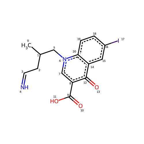 CC(CC=N)Cn1cc(C(=O)O)c(=O)c2cc(I)ccc21